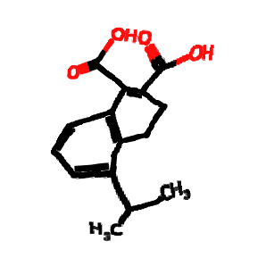 CC(C)c1cccc2c1CCC(C(=O)O)=C2C(=O)O